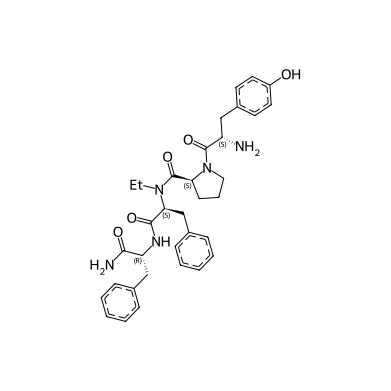 CCN(C(=O)[C@@H]1CCCN1C(=O)[C@@H](N)Cc1ccc(O)cc1)[C@@H](Cc1ccccc1)C(=O)N[C@H](Cc1ccccc1)C(N)=O